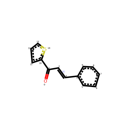 O=C(/C=C/c1ccccc1)c1cccs1